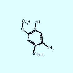 CCCCCc1cc(OC(=O)O)c(O)cc1C